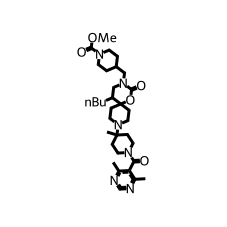 CCCCC1CN(CC2CCN(C(=O)OC)CC2)C(=O)OC12CCN(C1(C)CCN(C(=O)c3c(C)ncnc3C)CC1)CC2